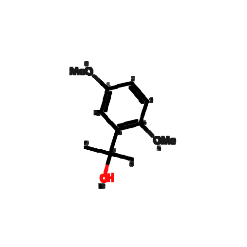 COc1ccc(OC)c(C(C)(C)O)c1